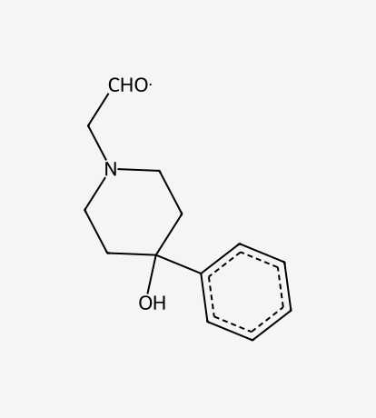 O=[C]CN1CCC(O)(c2ccccc2)CC1